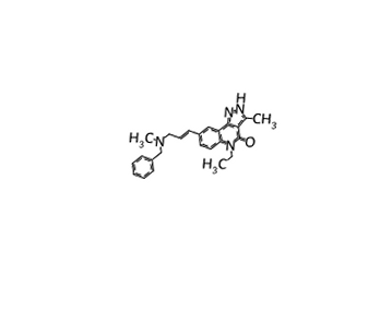 CCn1c(=O)c2c(C)[nH]nc2c2cc(/C=C/CN(C)Cc3ccccc3)ccc21